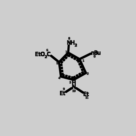 CCCCc1cccc(C(=O)OCC)c1N.CCNCC